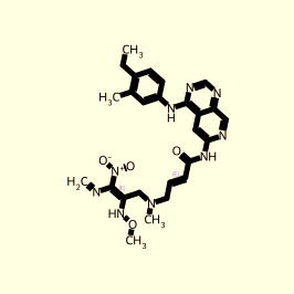 C=N/C(=C(/CN(C)C/C=C/C(=O)Nc1cc2c(Nc3ccc(CC)c(C)c3)ncnc2cn1)NOC)[N+](=O)[O-]